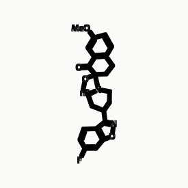 CCCOC1(N2CCC(c3noc4cc(F)ccc34)CC2)CCc2ccc(OC)cc2C1=O